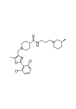 Cc1oc(-c2c(Cl)cccc2Cl)nc1CN1CCC(C(=O)NCCCN2CCC[C@H](C)C2)CC1